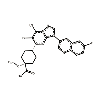 CO[C@]1(C(=O)O)CC[C@H](c2nc3c(-c4cnc5ccc(F)cc5c4)cnn3c(N)c2Br)CC1